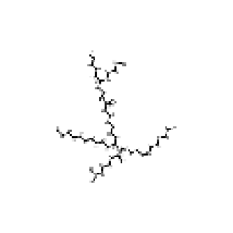 CCCCCC/C=C\CCON(C(=O)CCCCN(C)C)C(CCCCCCCCCC)CCCCCCC(=O)OCCC(CCCCC)CCCCC